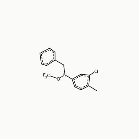 [CH2]c1ccc(N(Cc2ccccc2)OC(F)(F)F)cc1Cl